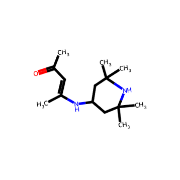 CC(=O)C=C(C)NC1CC(C)(C)NC(C)(C)C1